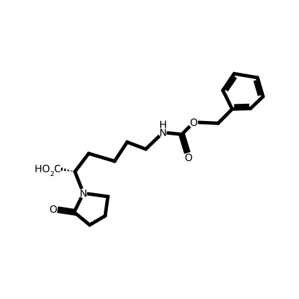 O=C(NCCCC[C@@H](C(=O)O)N1CCCC1=O)OCc1ccccc1